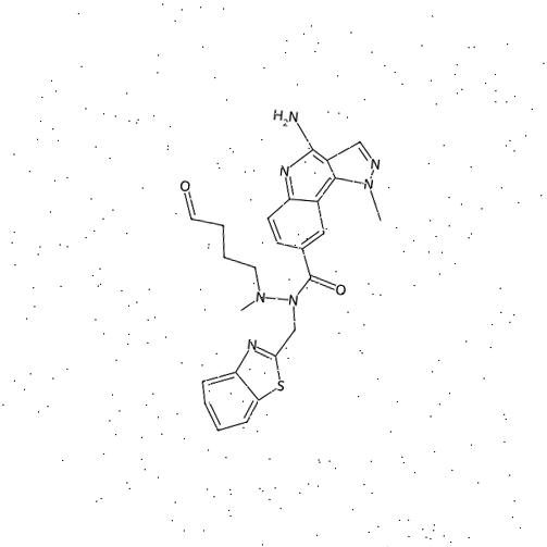 CN(CCCC=O)N(Cc1nc2ccccc2s1)C(=O)c1ccc2nc(N)c3cnn(C)c3c2c1